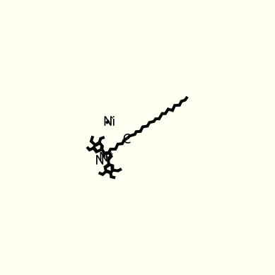 CCCCCCCCCCCCCCCCCCCCCCCCCC1=C(c2cc(CC)c(CC)c(CC)c2)[N+](=[N-])C(c2cc(CC)c(CC)c(CC)c2)=C1.[CH3][Ni][CH3]